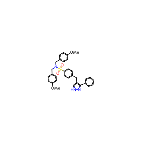 COc1ccc(CN(Cc2ccc(OC)cc2)S(=O)(=O)c2ccc(Cc3c[nH]nc3-c3ccccc3)cc2)cc1